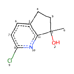 CC1(O)CCc2ccc(Cl)nc21